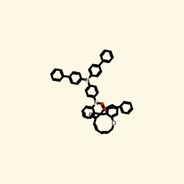 C=C1/C=C\C=C/COc2ccccc2C12c1ccccc1N(c1ccc(N(c3ccc(-c4ccccc4)cc3)c3ccc(-c4ccccc4)cc3)cc1)c1ccc(-c3ccccc3)cc12